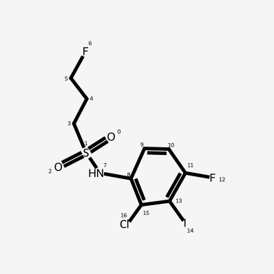 O=S(=O)(CCCF)Nc1ccc(F)c(I)c1Cl